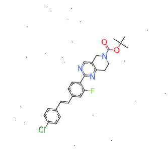 CC(C)(C)OC(=O)N1CCc2nc(-c3ccc(/C=C/c4ccc(Cl)cc4)cc3F)ncc2C1